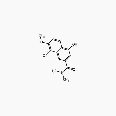 COc1ccc2c(O)cc(C(=O)N(C)C)nc2c1Cl